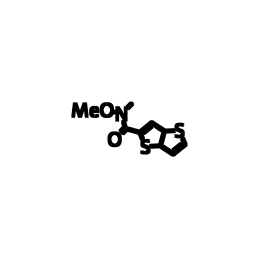 CON(C)C(=O)C1=CC2SC=CC2S1